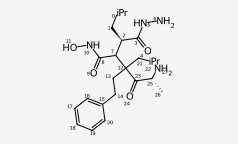 CC(C)C[C@@H](C(=O)NN)C(C(=O)NO)C(CCc1ccccc1)(CC(C)C)C(=O)[C@@H](C)N